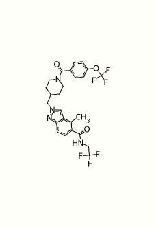 Cc1c(C(=O)NCC(F)(F)F)ccc2nn(CC3CCN(C(=O)c4ccc(OC(F)(F)F)cc4)CC3)cc12